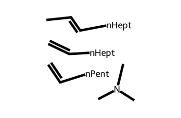 C=CCCCCC.C=CCCCCCCC.CC=CCCCCCCC.CN(C)C